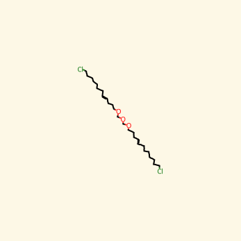 ClCCCCCCCC=CCCCOCOCOCCCC=CCCCCCCCCl